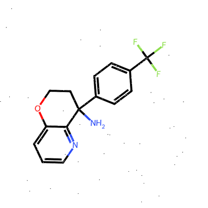 NC1(c2ccc(C(F)(F)F)cc2)CCOc2cccnc21